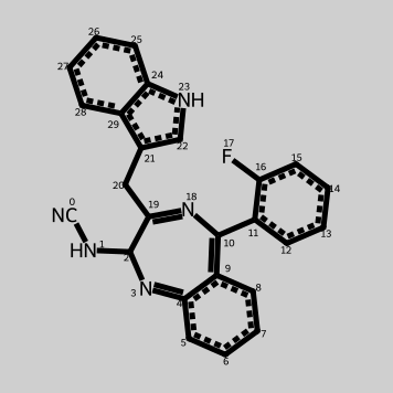 N#CNC1N=c2ccccc2=C(c2ccccc2F)N=C1Cc1c[nH]c2ccccc12